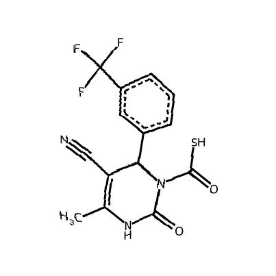 CC1=C(C#N)C(c2cccc(C(F)(F)F)c2)N(C(=O)S)C(=O)N1